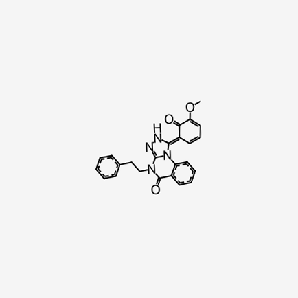 COC1=CC=C/C(=C2/NN=C3N(CCc4ccccc4)C(=O)c4ccccc4N32)C1=O